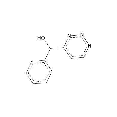 OC(c1ccccc1)c1ccnnn1